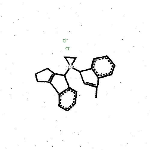 CC1=C[CH]([Zr+2]2([CH]3C4=C(CCC4)c4ccccc43)[CH2][CH2]2)c2ccccc21.[Cl-].[Cl-]